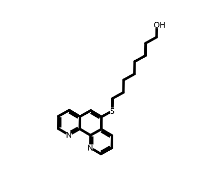 OCCCCCCCCSc1cc2cccnc2c2ncccc12